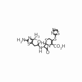 Cc1nc(N)sc1CC(=O)N[C@@H]1C(=O)N2C(C(=O)O)=C(Sc3nncs3)CS[C@@H]12